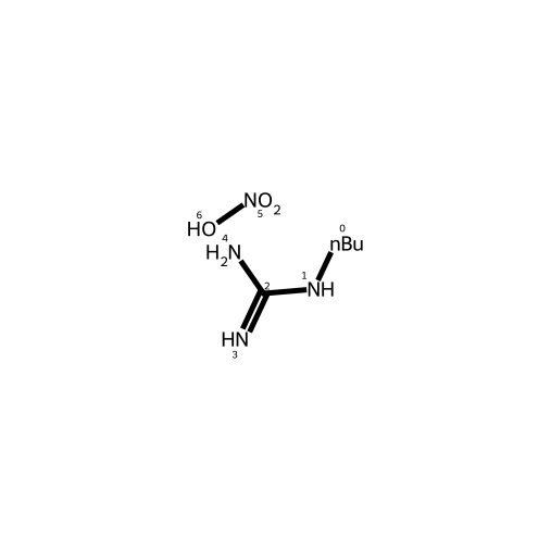 CCCCNC(=N)N.O=[N+]([O-])O